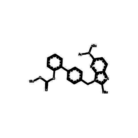 CCCCc1nc2ccc(N(CCCC)C(C)=O)nc2n1Cc1ccc(-c2ccccc2OC(=O)OC(C)(C)C)cc1